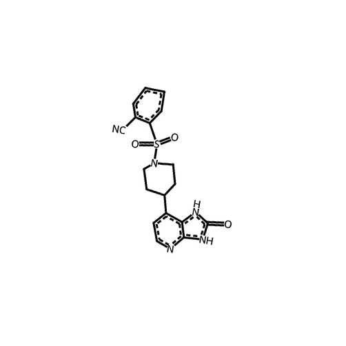 N#Cc1ccccc1S(=O)(=O)N1CCC(c2ccnc3[nH]c(=O)[nH]c23)CC1